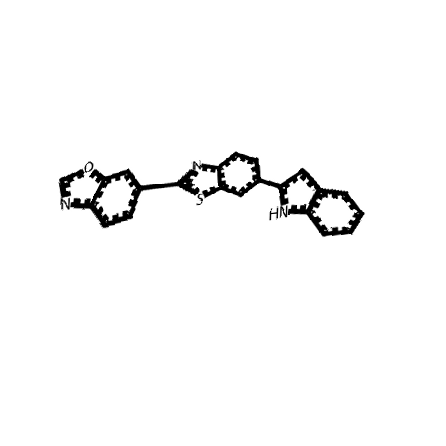 c1ccc2[nH]c(-c3ccc4nc(-c5ccc6ncoc6c5)sc4c3)cc2c1